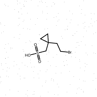 O=S(=O)(O)CC1(CCBr)CC1